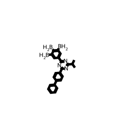 Bc1cc(-c2nc(-c3ccc(-c4ccccc4)cc3)nc(C(C)C)n2)cc(B)c1B